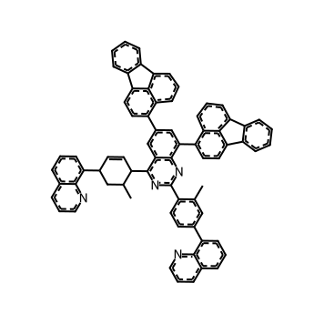 Cc1cc(-c2cccc3cccnc23)ccc1-c1nc(C2C=CC(c3cccc4cccnc34)CC2C)c2cc(-c3ccc4c5c(cccc35)-c3ccccc3-4)cc(-c3ccc4c5c(cccc35)-c3ccccc3-4)c2n1